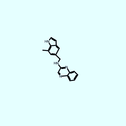 Cc1cc(CNc2cnc3ccccc3n2)cc2cc[nH]c12